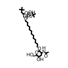 CC(=O)N[C@@H]1C[C@@H](O)[C@@H](CO)O[C@H]1OCCCCCCCCCCCCCOC[C@@H](CC(C)(C)C)OP(=O)(O)OC(C)(C)C